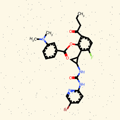 CCCC(=O)c1ccc(F)c(C2CC2NC(=O)Nc2ccc(Br)cn2)c1OC(=O)c1cccc(N(C)C)c1